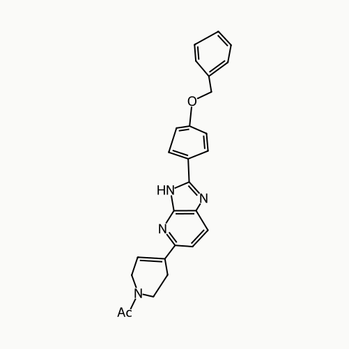 CC(=O)N1CC=C(c2ccc3nc(-c4ccc(OCc5ccccc5)cc4)[nH]c3n2)CC1